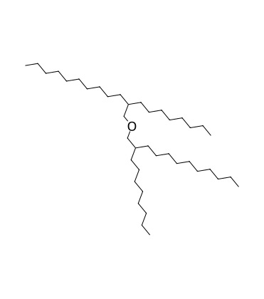 CCCCCCCCCCC(CCCCCCCC)COCC(CCCCCCCC)CCCCCCCCCC